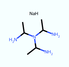 CC(N)N(C(C)N)C(C)N.[NaH]